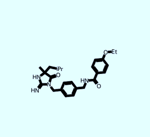 CCOc1ccc(C(=O)NCc2ccc(CN3C(=N)NC(C)(CC(C)C)C3=O)cc2)cc1